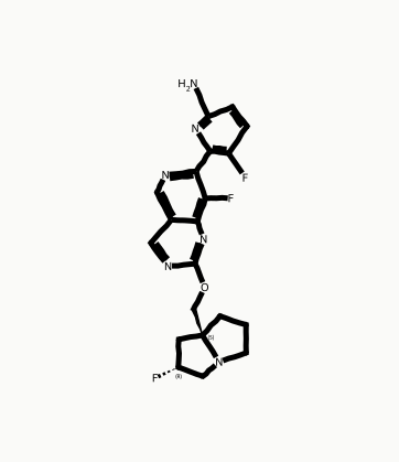 Nc1ccc(F)c(-c2ncc3cnc(OC[C@@]45CCCN4C[C@H](F)C5)nc3c2F)n1